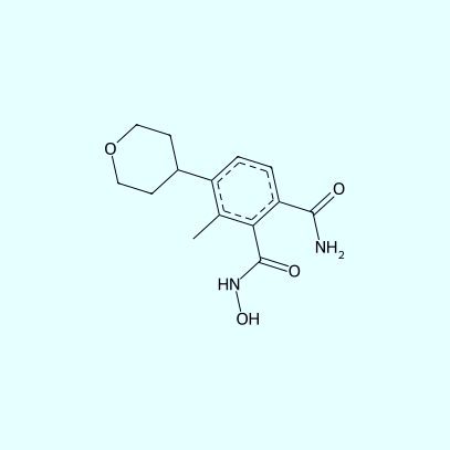 Cc1c(C2CCOCC2)ccc(C(N)=O)c1C(=O)NO